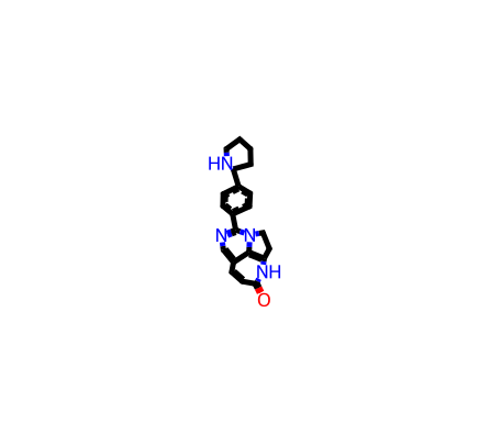 O=C1C=CC2=CN=C(c3ccc(C4CCCCN4)cc3)N3CCC(=C23)N1